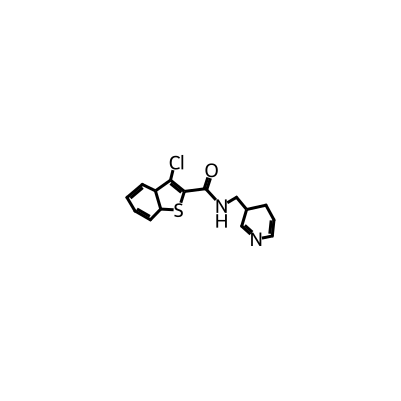 O=C(NCC1C=NC=CC1)C1=C(Cl)C2C=CC=CC2S1